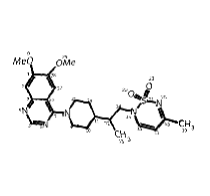 COc1cc2ncnc(N3CCC(C(C)CN4C=CC(C)=NS4(=O)=O)CC3)c2cc1OC